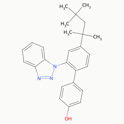 CC(C)(C)CC(C)(C)c1ccc(-c2ccc(O)cc2)c(-n2nnc3ccccc32)c1